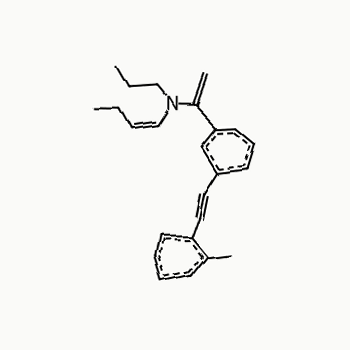 C=C(c1cccc(C#Cc2ccccc2C)c1)N(/C=C\CC)CCC